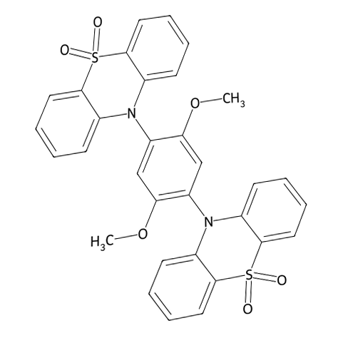 COc1cc(N2c3ccccc3S(=O)(=O)c3ccccc32)c(OC)cc1N1c2ccccc2S(=O)(=O)c2ccccc21